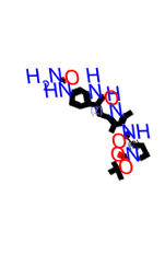 Cc1[nH]c(/C=C2\C(=O)Nc3cc(NC(N)=O)ccc32)c(C)c1NC(=O)[C@@H]1CCCN1C(=O)OC(C)(C)C